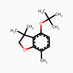 Cc1ccc(OC(C)(C)C)c2c1OCC2(C)C